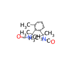 Cc1cccc(C(C)(C)N=C=O)c1C(C)(C)N=C=O